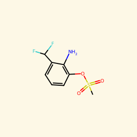 CS(=O)(=O)Oc1cccc(C(F)F)c1N